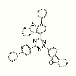 c1ccc(-c2ccc(-c3nc(-c4ccc5c(c4)oc4ccccc45)nc(-c4ccc(-c5ccccc5)c5sc6ccccc6c45)n3)cc2)cc1